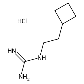 Cl.N=C(N)NCCC1CCC1